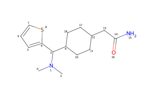 CN(C)C(c1cccs1)C1CCC(CC(N)=O)CC1